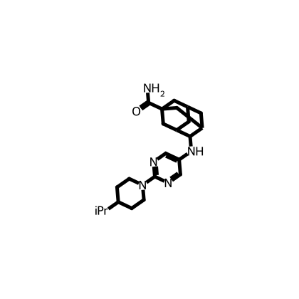 CC(C)C1CCN(c2ncc(NC3C4CC5CC3CC(C(N)=O)(C5)C4)cn2)CC1